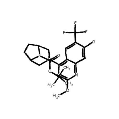 COc1nc(N2CC3CCC(C2)N3C(=O)OC(C)(C)C)c2cc(C(F)(F)F)c(Cl)cc2n1